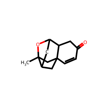 CC12CC34C=CC(=O)CC3C(CC1C4)O2